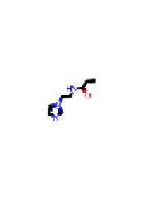 C=CC(=O)NCCn1ccnc1